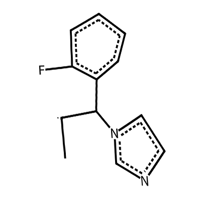 C[CH]C(c1ccccc1F)n1ccnc1